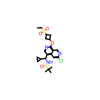 CCS(=O)(=O)C1CC(Oc2ncc([C@@H](N[S@@+]([O-])C(C)(C)C)C3CC3)c3cc(Cl)ncc23)C1